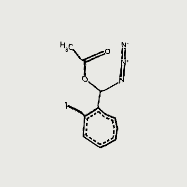 CC(=O)OC(N=[N+]=[N-])c1ccccc1I